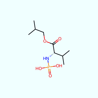 CC(C)COC(=O)[C@@H](NP(=O)(O)O)C(C)C